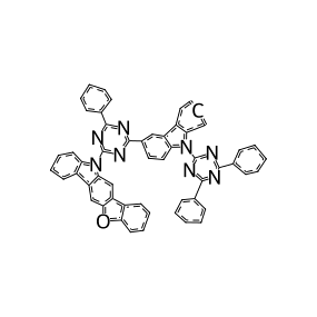 c1ccc(-c2nc(-c3ccccc3)nc(-n3c4ccccc4c4cc(-c5nc(-c6ccccc6)nc(-n6c7ccccc7c7cc8oc9ccccc9c8cc76)n5)ccc43)n2)cc1